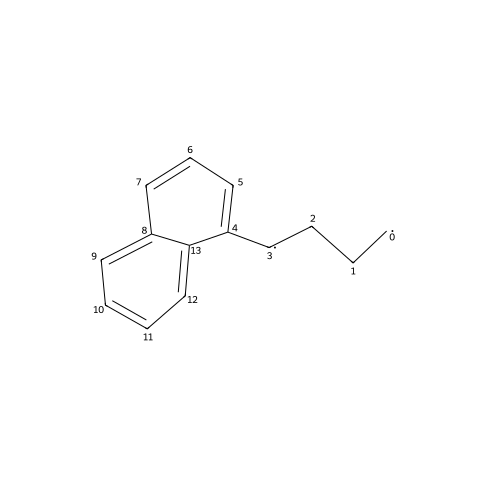 [CH2]CC[CH]c1cccc2ccccc12